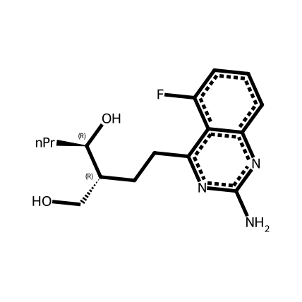 CCC[C@@H](O)[C@@H](CO)CCc1nc(N)nc2cccc(F)c12